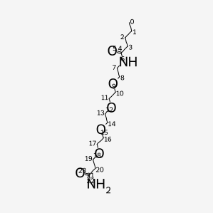 CCCCC(=O)NCCOCCOCCOCCOCCC(N)=O